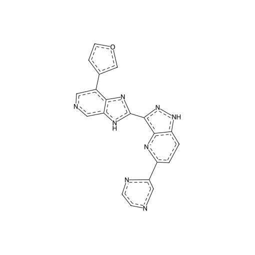 c1cnc(-c2ccc3[nH]nc(-c4nc5c(-c6ccoc6)cncc5[nH]4)c3n2)cn1